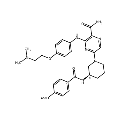 COc1ccc(C(=O)N[C@@H]2CCCN(c3cnc(C(N)=O)c(Nc4ccc(OCCN(C)C)cc4)n3)C2)cc1